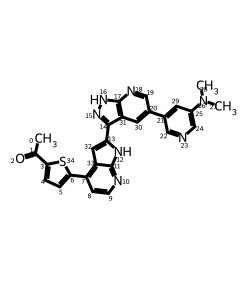 CC(=O)c1ccc(-c2ccnc3[nH]c(-c4n[nH]c5ncc(-c6cncc(N(C)C)c6)cc45)cc23)s1